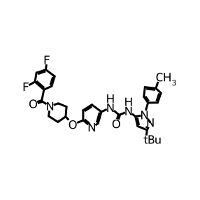 Cc1ccc(-n2nc(C(C)(C)C)cc2NC(=O)Nc2ccc(OC3CCN(C(=O)c4ccc(F)cc4F)CC3)nc2)cc1